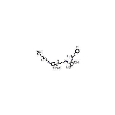 COc1cc(/C=C/COC(=O)CCCO[N+](=O)[O-])ccc1OC(=O)CCC/C=C\C[C@@H]1[C@@H](/C=C/[C@@H](O)CCc2cccc(Cl)c2)[C@H](O)C[C@@H]1O